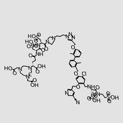 Cc1c(COc2cc(OCc3cncc(C#N)c3)c(CN[C@@H](CS(=O)(=O)O)C(=O)NCCS(=O)(=O)O)cc2Cl)cccc1-c1cccc(OCc2cn(CCCN3CCN(C(=O)[C@H](CS(=O)(=O)O)NC(=O)[C@H](CS(=O)(=O)O)NC(=O)CC[C@H](C(=O)O)N4CCN(CC(=O)O)CCN(CC(=O)O)CC4)CC3)nn2)c1C